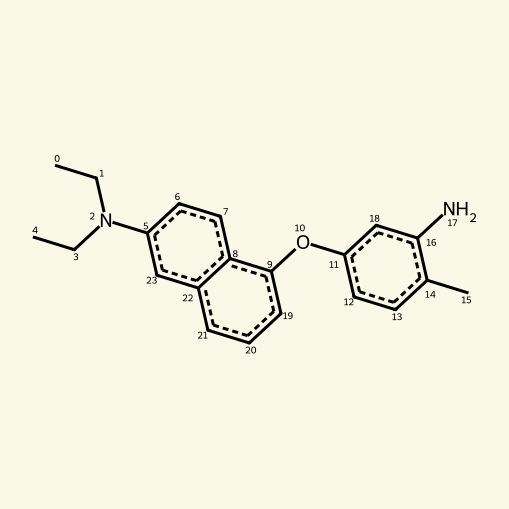 CCN(CC)c1ccc2c(Oc3ccc(C)c(N)c3)cccc2c1